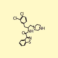 O=C(NC(Cc1ccc(Cl)c(Cl)c1)CN1CCNCC1)c1nsc2ccccc12